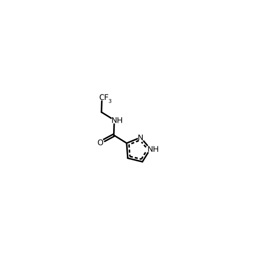 O=C(NCC(F)(F)F)c1cc[nH]n1